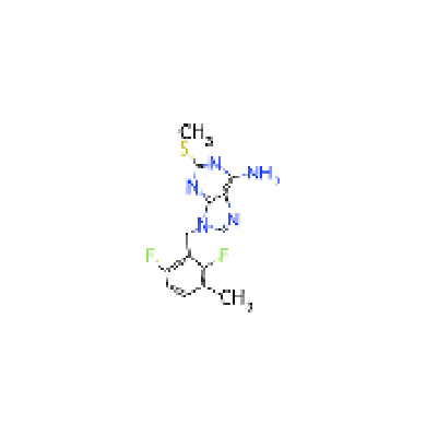 CSc1nc(N)c2ncn(Cc3c(F)ccc(C)c3F)c2n1